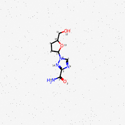 NC(=O)c1ncn(C2CCC(CO)O2)n1